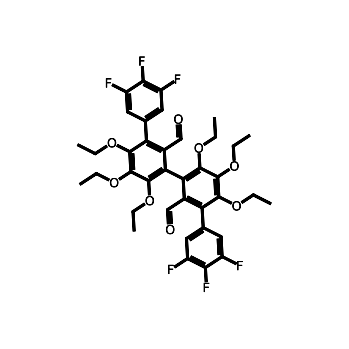 CCOc1c(OCC)c(-c2cc(F)c(F)c(F)c2)c(C=O)c(-c2c(C=O)c(-c3cc(F)c(F)c(F)c3)c(OCC)c(OCC)c2OCC)c1OCC